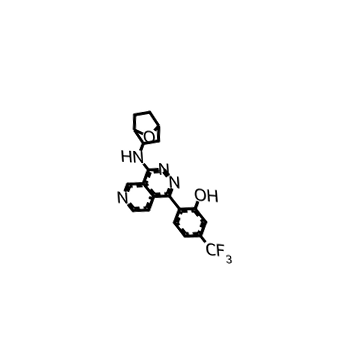 Oc1cc(C(F)(F)F)ccc1-c1nnc(NC2CC3CCC2O3)c2cnccc12